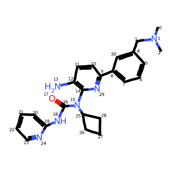 CN(C)Cc1cccc(-c2ccc(N)c(N(C(=O)Nc3ccccn3)C3CCC3)n2)c1